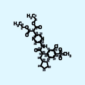 CCOC(=O)C(C(=O)OCC)c1cnc(NC(=O)[C@H](CC2CCCC2)c2ccc(S(C)(=O)=O)c(Cl)c2)cn1